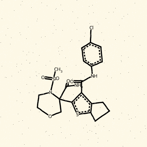 CS(=O)(=O)N1CCOCC1(C(N)=O)c1sc2c(c1C(=O)Nc1ccc(Cl)cc1)CCC2